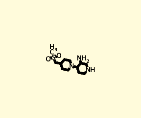 CS(=O)(=O)CC1CCN(C2CCNCC2N)CC1